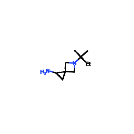 CCC(C)(C)N1CC2(CC2N)C1